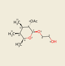 CC(=O)O[C@@H]1[C@@H](OCCO)O[C@@H](C)[C@@H](C)[C@H]1C